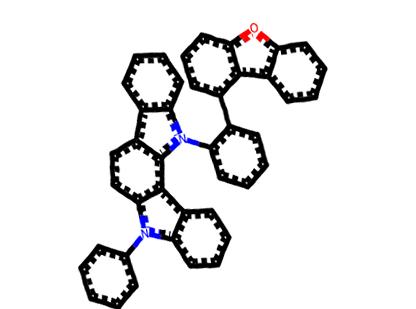 c1ccc(-n2c3ccccc3c3c2ccc2c4ccccc4n(-c4ccccc4-c4cccc5oc6ccccc6c45)c23)cc1